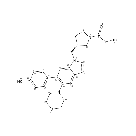 CC(C)(C)OC(=O)N1CC[C@H](Cn2ccc3nc(N4CCOCC4)c(-c4ccc(C#N)cc4)cc32)C1